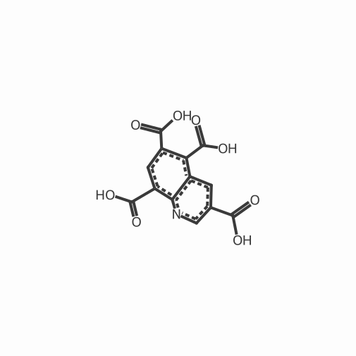 O=C(O)c1cnc2c(C(=O)O)cc(C(=O)O)c(C(=O)O)c2c1